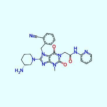 Cn1c(=O)n(CC(=O)Nc2ccccn2)c(=O)c2c1nc(N1CCC[C@@H](N)C1)n2Cc1ccccc1C#N